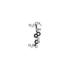 CC(C)CCNCC1CCCc2c(Oc3ccc(C(N)=O)cn3)cccc21